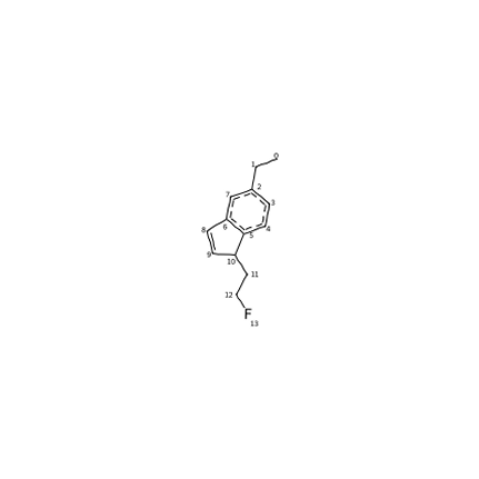 CCc1ccc2c(c1)C=CC2CCF